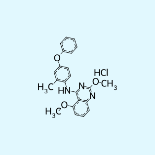 COc1nc(Nc2ccc(Oc3ccccc3)cc2C)c2c(OC)cccc2n1.Cl